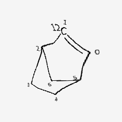 C1=[12CH]C2CCC1C2